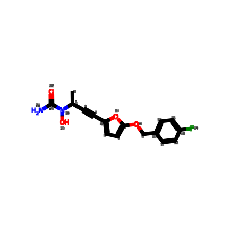 CC(C#Cc1ccc(OCc2ccc(F)cc2)o1)N(O)C(N)=O